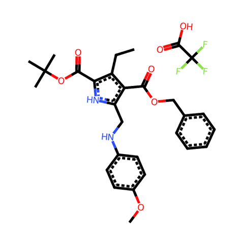 CCc1c(C(=O)OC(C)(C)C)[nH]c(CNc2ccc(OC)cc2)c1C(=O)OCc1ccccc1.O=C(O)C(F)(F)F